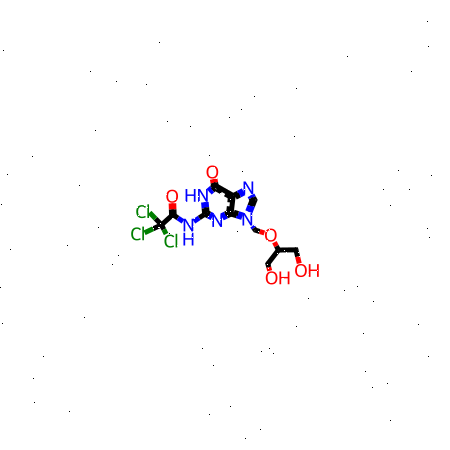 O=C(Nc1nc2c(ncn2COC(CO)CO)c(=O)[nH]1)C(Cl)(Cl)Cl